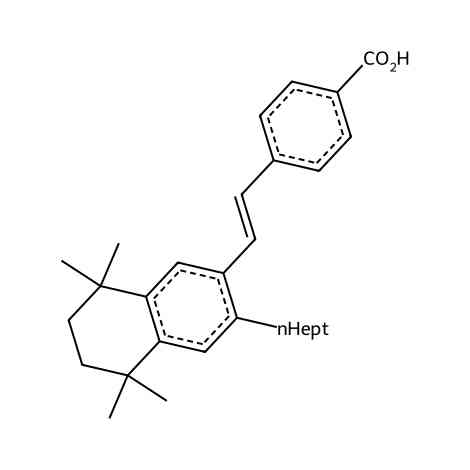 CCCCCCCc1cc2c(cc1/C=C/c1ccc(C(=O)O)cc1)C(C)(C)CCC2(C)C